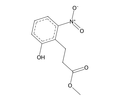 COC(=O)CCc1c(O)cccc1[N+](=O)[O-]